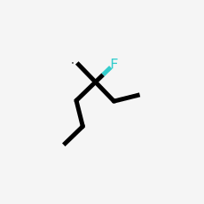 [CH2]C(F)(CC)CCC